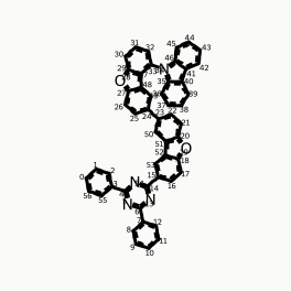 c1ccc(-c2nc(-c3ccccc3)nc(-c3ccc4oc5ccc(-c6ccc7oc8cccc(-n9c%10ccccc%10c%10ccccc%109)c8c7c6)cc5c4c3)n2)cc1